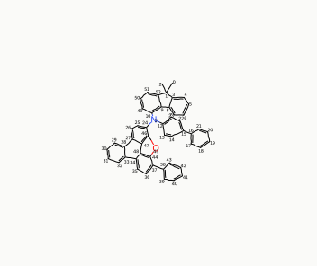 CC1(C)c2ccccc2-c2c(N(c3ccc(-c4ccccc4)cc3)c3ccc4c5ccccc5c5ccc(-c6ccccc6)c6oc3c4c65)cccc21